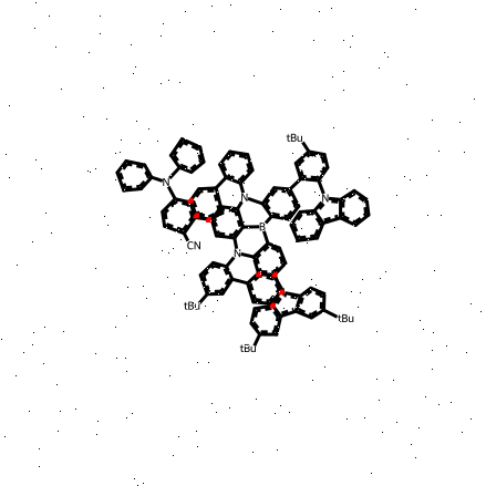 CC(C)(C)c1ccc(N2c3cc(-n4c5ccc(C(C)(C)C)cc5c5cc(C(C)(C)C)ccc54)ccc3B3c4ccc(-c5cc(C(C)(C)C)ccc5-n5c6ccccc6c6ccccc65)cc4N(c4ccccc4-c4ccccc4)c4cc(-c5cc(N(c6ccccc6)c6ccccc6)ccc5C#N)cc2c43)c(-c2ccccc2)c1